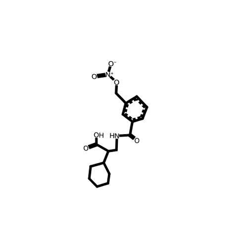 O=C(NCC(C(=O)O)C1CCCCC1)c1cccc(CO[N+](=O)[O-])c1